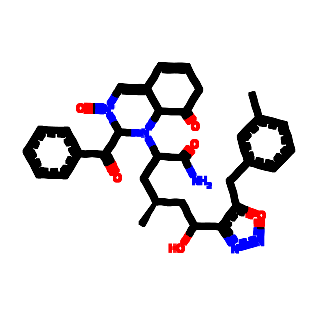 Cc1cccc(Cc2onnc2C(O)C[C@@H](C)CC(C(N)=O)N2C3C(=O)CC=CC3=C[N+](=O)C2C(=O)c2ccccc2)c1